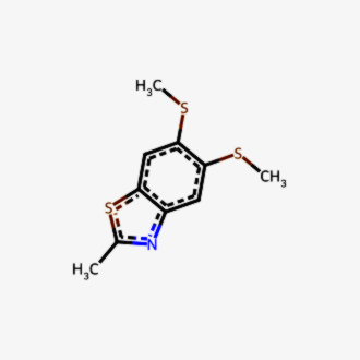 CSc1cc2nc(C)sc2cc1SC